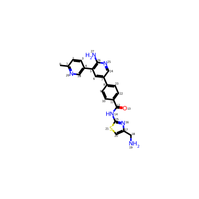 Cc1ccc(-c2cc(-c3ccc(C(=O)Nc4nc(CN)cs4)cc3)cnc2N)cn1